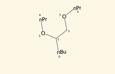 CCCCC(COCCC)OCCC